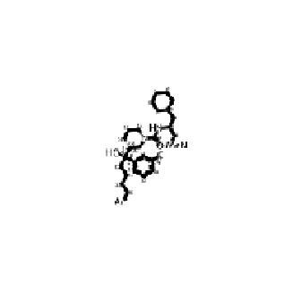 CNCC(CC1CCCCC1)NC(=O)N1CCC[C@@H]([C@@](O)(CCCCC(C)=O)c2cccc(Cl)c2)C1